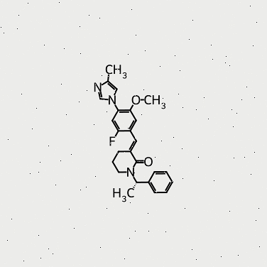 COc1cc(C=C2CCCN([C@@H](C)c3ccccc3)C2=O)c(F)cc1-n1cnc(C)c1